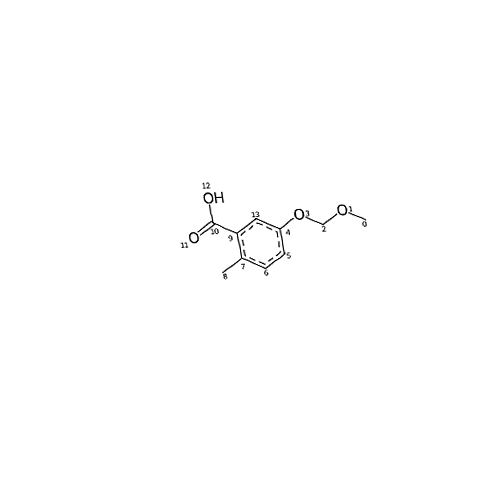 COCOc1ccc(C)c(C(=O)O)c1